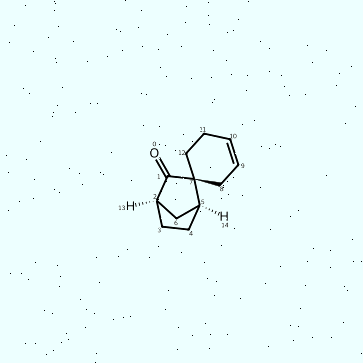 O=C1[C@@H]2CC[C@@H](C2)[C@]12CC=CCC2